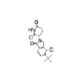 CC(C)(C)c1ccc2c(c1Cl)CN(C1CCC(=O)NC1=O)C2=O